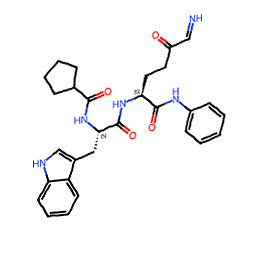 N=CC(=O)CC[C@H](NC(=O)[C@H](Cc1c[nH]c2ccccc12)NC(=O)C1CCCC1)C(=O)Nc1ccccc1